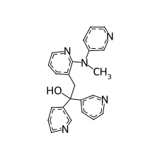 CN(c1cccnc1)c1ncccc1CC(O)(c1cccnc1)c1cccnc1